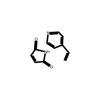 C=Cc1ccncc1.O=C1C=CC(=O)N1